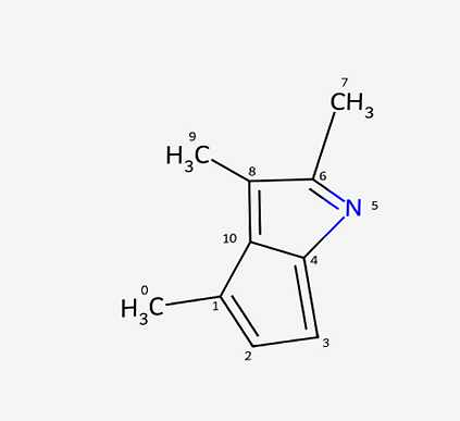 CC1=CC=C2N=C(C)C(C)=C12